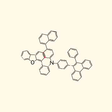 c1ccc(-c2c(-c3ccc(N(c4ccc(-c5cccc6ccccc56)cc4)c4ccccc4-c4cccc5c4oc4ccccc45)cc3)c3ccccc3c3ccccc23)cc1